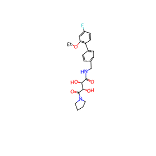 CCOc1cc(F)ccc1-c1ccc(CNC(=O)[C@H](O)[C@@H](O)C(=O)N2CCCC2)cc1